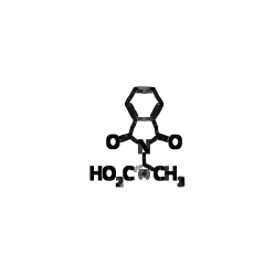 C[C@H](C(=O)O)N1C(=O)c2ccccc2C1=O